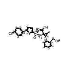 O=C(O)[C@]1(NS(=O)(=O)c2ccc(-c3ccc(Cl)cc3)s2)C[C@@H]1c1ccccc1CO